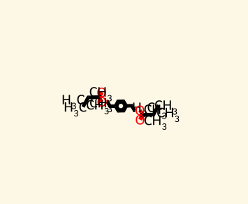 CC(C)(C)CC(C)(C)C(=O)OCCc1ccc(CCOC(=O)C(C)(C)CC(C)(C)C)cc1